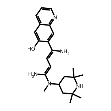 CN(/C(N)=C/C=C(\N)c1cc2ncccc2cc1O)C1CC(C)(C)NC(C)(C)C1